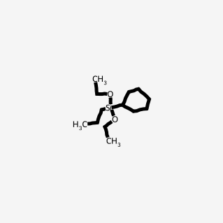 CCC[Si](OCC)(OCC)C1CCCCC1